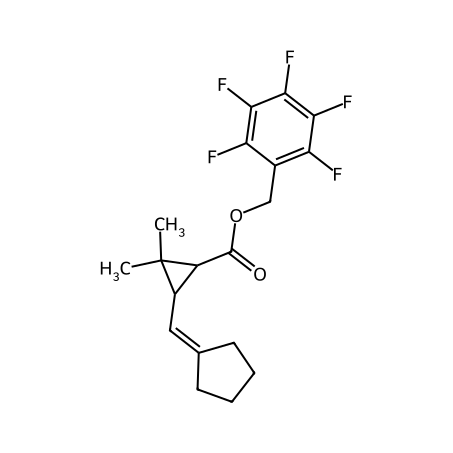 CC1(C)C(C=C2CCCC2)C1C(=O)OCc1c(F)c(F)c(F)c(F)c1F